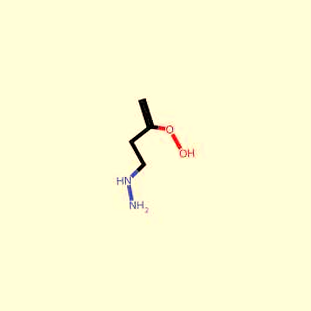 C=C(CCNN)OO